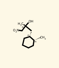 C[C@@H]1CCCC[C@@H]1C[C@@](C)(O)C[N+](=O)[O-]